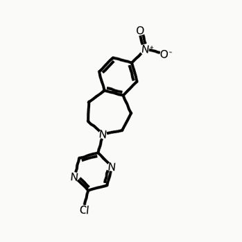 O=[N+]([O-])c1ccc2c(c1)CCN(c1cnc(Cl)cn1)CC2